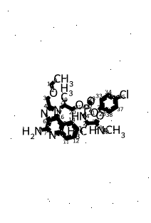 CCOCc1nc2c(N)nc3ccccc3c2n1[C@H](C)CO[P@@](=O)(N[C@@H](C)C(=O)NC)Oc1ccc(Cl)cc1